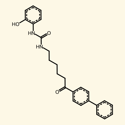 O=C(NCCCCCC(=O)c1ccc(-c2ccccc2)cc1)Nc1ccccc1O